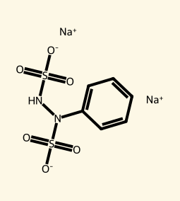 O=S(=O)([O-])NN(c1ccccc1)S(=O)(=O)[O-].[Na+].[Na+]